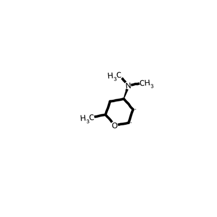 CC1C[C@@H](N(C)C)[CH][CH]O1